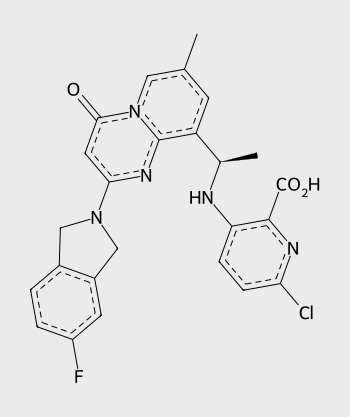 Cc1cc([C@@H](C)Nc2ccc(Cl)nc2C(=O)O)c2nc(N3Cc4ccc(F)cc4C3)cc(=O)n2c1